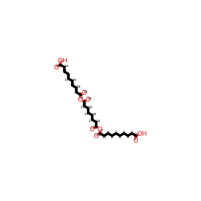 O=C(O)CCCCCCCCC(=O)OC(=O)CCCCCCC(=O)OC(=O)CCCCCCCCC(=O)O